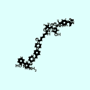 Cc1ncsc1-c1ccc([C@H](C)NC(=O)[C@@H]2CC(O)CN2C(=O)[C@@H](NC(=O)CCCCCC(=O)N2CCN(c3ccc(CN4CCCC(Oc5cc(-c6ccccc6O)nnc5N)C4)cc3)CC2)C(C)(C)C)cc1